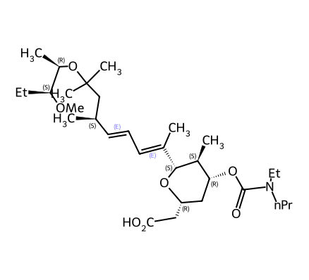 CCCN(CC)C(=O)O[C@@H]1C[C@H](CC(=O)O)O[C@H](/C(C)=C/C=C/[C@@H](C)CC(C)(C)O[C@H](C)[C@H](CC)OC)[C@H]1C